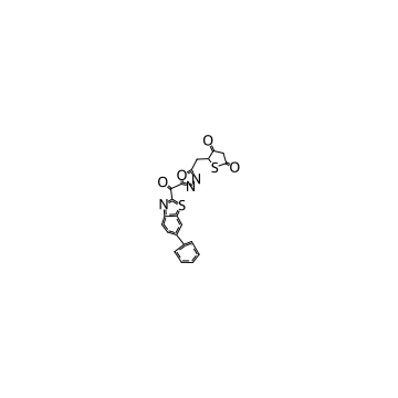 O=C1CC(=O)C(Cc2nnc(C(=O)c3nc4ccc(-c5ccccc5)cc4s3)o2)S1